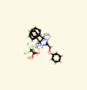 C[C@@]1(c2ccccc2)N=C(COc2ccccc2)N[C@]1(C)c1ccccc1.O=C(O)C(F)(F)F